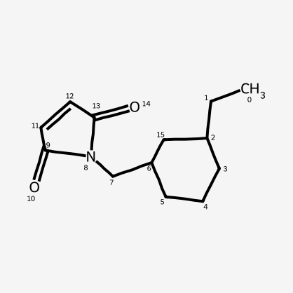 CCC1CCCC(CN2C(=O)C=CC2=O)C1